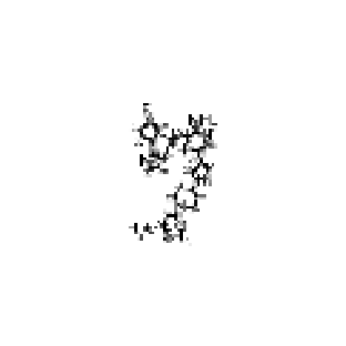 C[C@@H](Oc1cc(-c2cnn(C3CCN(C(=O)CN(C)C)CC3)c2)cnc1N)c1cc(F)ccc1-n1nccn1